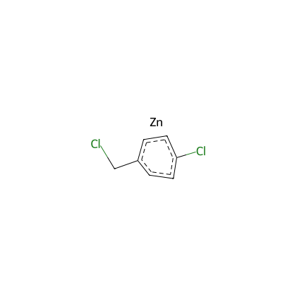 ClCc1ccc(Cl)cc1.[Zn]